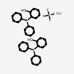 F[B-](F)(F)F.Oc1ccccc1P(c1ccccc1)c1ccccc1.Oc1ccccc1P(c1ccccc1)c1ccccc1.[Cu+]